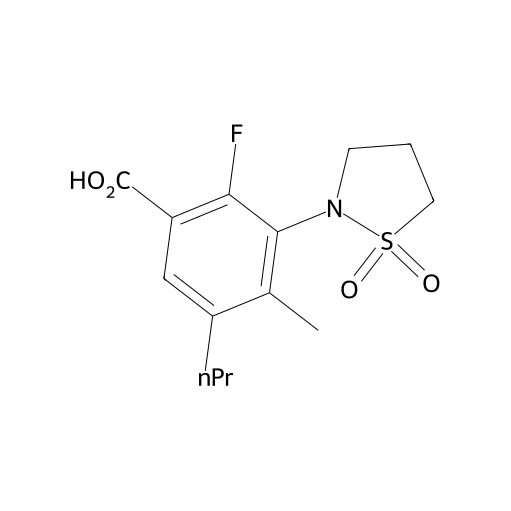 CCCc1cc(C(=O)O)c(F)c(N2CCCS2(=O)=O)c1C